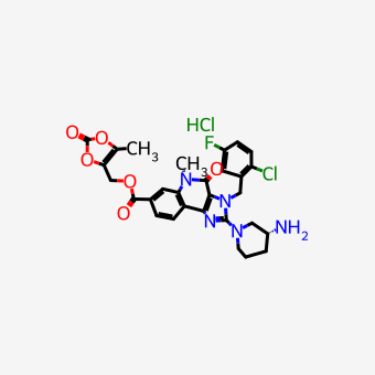 Cc1oc(=O)oc1COC(=O)c1ccc2c3nc(N4CCC[C@@H](N)C4)n(Cc4cc(F)ccc4Cl)c3c(=O)n(C)c2c1.Cl